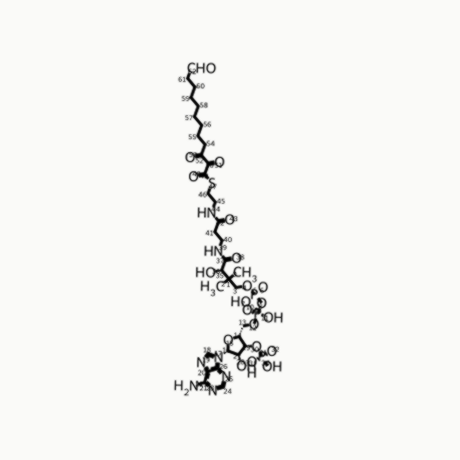 CC(C)(COP(=O)(O)OP(=O)(O)OC[C@H]1O[C@@H](n2cnc3c(N)ncnc32)[C@H](O)[C@@H]1OP(=O)(O)O)[C@@H](O)C(=O)NCCC(=O)NCCSC(=O)C(=O)C(=O)CCCCCCCCC=O